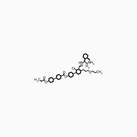 C=CC(=O)Oc1ccc(-c2ccc(C(=O)Oc3ccc(-c4ccc(CCCOCCC)c(/C=N/N/C(N)=c5\cccc\c5=C\N)c4Cl)cc3)cc2)cc1